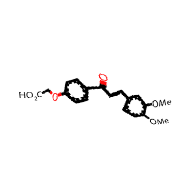 COc1ccc(/C=C/C(=O)c2ccc(OCC(=O)O)cc2)cc1OC